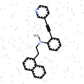 O=CN(CCc1cccc2ccccc12)c1ccccc1C#Cc1cccnc1